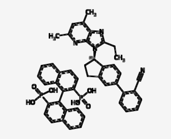 CCc1nc2c(C)cc(C)nc2n1[C@@H]1CCc2cc(-c3ccccc3C#N)ccc21.O=P(O)(O)c1ccc2ccccc2c1-c1c(P(=O)(O)O)ccc2ccccc12